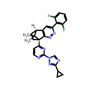 CC1(C)[C@H]2CC[C@@]1(c1ccnc(-n3cnc(C4CC4)n3)n1)c1nnc(-c3c(F)cccc3F)cc12